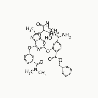 Cc1nc2c(Oc3cccc(C(=O)N(C)C)c3)nc(Oc3cc(C(=N)N)ccc3C(=O)OCc3ccccc3)nc2n1C(C(N)=O)C(C)O